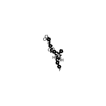 CC[C@@H](c1ccccc1)N1Cc2cc3c(cc2C[C@H]1C(=O)NC(Cc1ccc(-c2ccc(F)cc2)cc1)C(=O)O)N(C)C(=O)[C@@H](c1ccc(OCc2ccc(Cl)c(Cl)c2)cc1)O3